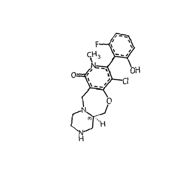 Cn1c(-c2c(O)cccc2F)c(Cl)c2c(c1=O)CN1CCNC[C@@H]1CO2